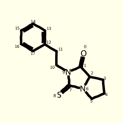 O=C1C2CCCN2C(=S)N1CCc1ccccc1